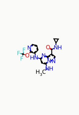 CNc1cc(Nc2cccnc2OC(F)(F)F)nc2c(C(=O)NC3CC3)cnn12